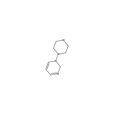 C1=CN(N2CC[N]CC2)CN=C1